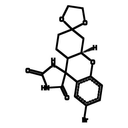 O=C1NC(=O)C2(N1)c1cc(Br)ccc1O[C@@H]1CC3(CCC12)OCCO3